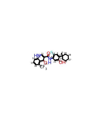 CC1(c2cc(F)c(NC(=O)c3c[nH]c4cccc(C(F)(F)F)c4c3=O)cc2O)CCCCC1